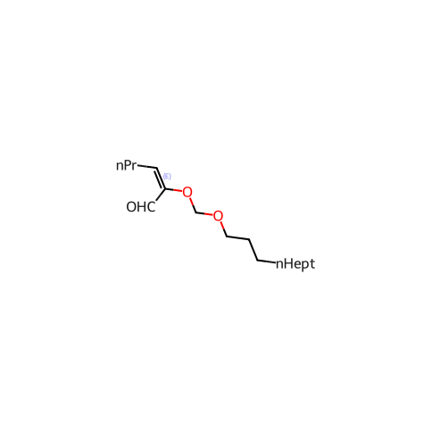 CCC/C=C(\C=O)OCOCCCCCCCCCC